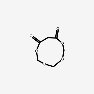 O=C1CC(=O)OCOCOCO1